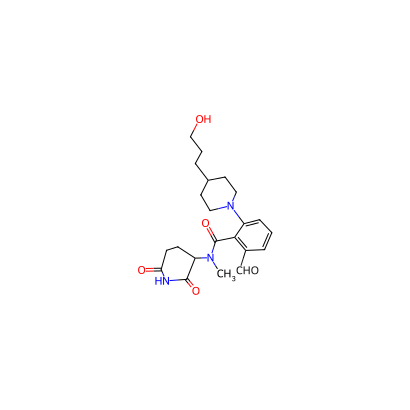 CN(C(=O)c1c(C=O)cccc1N1CCC(CCCO)CC1)C1CCC(=O)NC1=O